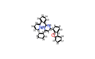 c1ccc(-c2cc(-c3cccc4c3oc3ccccc34)nc(-c3ccccc3-c3ccccn3)n2)cc1